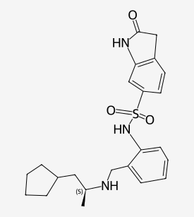 C[C@@H](CC1CCCC1)NCc1ccccc1NS(=O)(=O)c1ccc2c(c1)NC(=O)C2